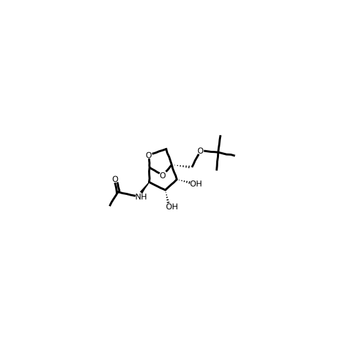 CC(=O)N[C@H]1C2OC[C@](COC(C)(C)C)(O2)[C@H](O)[C@@H]1O